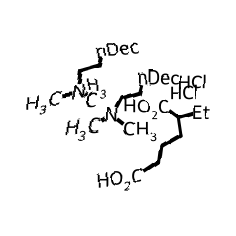 CCC(CCCC(=O)O)C(=O)O.CCCCCCCCCCCCN(C)C.CCCCCCCCCCCCN(C)C.Cl.Cl